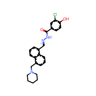 O=C(N/N=C/c1cccc2c(CN3CCCCC3)cccc12)c1ccc(O)c(Cl)c1